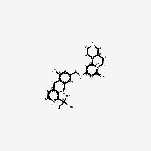 O=c1nc(OCc2cc(F)c(Cc3ccnc(C(F)(F)F)c3)c(F)c2)cc2n1CCC1COCCN21